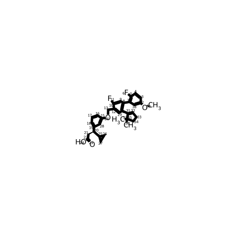 COc1ccc(F)c(-c2cc(F)c(COc3cccc([C@H](CC(=O)O)C4CC4)c3)cc2C2=CCCC2(C)C)c1